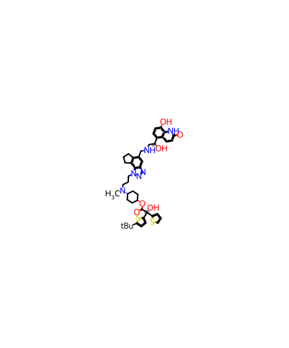 CN(CCCn1nnc2cc(CNC[C@H](O)c3ccc(O)c4[nH]c(=O)ccc34)c3c(c21)CCC3)[C@H]1CC[C@H](OC(=O)[C@@](O)(c2cccs2)c2ccc(C(C)(C)C)s2)CC1